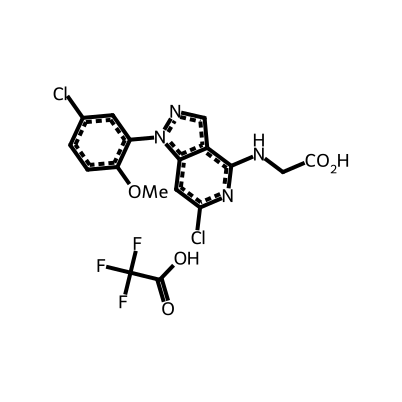 COc1ccc(Cl)cc1-n1ncc2c(NCC(=O)O)nc(Cl)cc21.O=C(O)C(F)(F)F